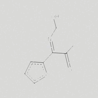 CC(=O)/C(=N\CO)c1ccco1